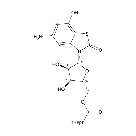 CCCCCCCC(=O)OC[C@H]1O[C@@H](n2c(=O)sc3c(O)nc(N)nc32)[C@H](O)[C@@H]1O